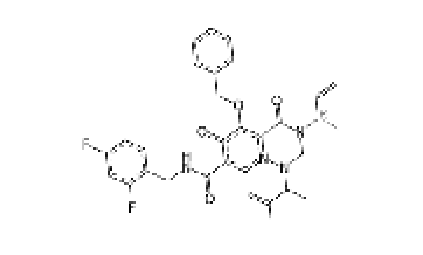 C=C[C@H](C)N1CN(C(C)C(=C)C)n2cc(C(=O)NCc3ccc(F)cc3F)c(=O)c(OCc3ccccc3)c2C1=O